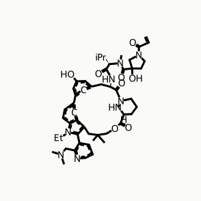 C=CC(=O)N1CCC(O)(C(=O)N(C)[C@H](C(=O)N[C@H]2Cc3cc(O)cc(c3)-c3ccc4c(c3)c(c(-c3cccnc3CN(C)C)n4CC)CC(C)(C)COC(=O)[C@@H]3CCCN(N3)C2=O)C(C)C)C1